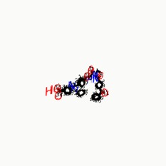 CCN(NC(=O)c1ccc(C(=O)c2ccccc2)cc1)C(=O)COc1ccc(-c2nc3cc(C(=O)O)ccc3n2C2CCCCC2)cc1